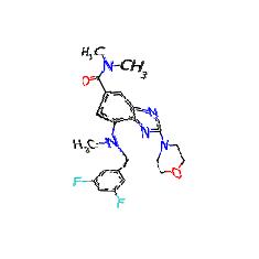 CN(C)C(=O)c1cc(N(C)Cc2cc(F)cc(F)c2)c2nc(N3CCOCC3)cnc2c1